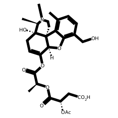 CC(=O)O[C@@H](CC(=O)O)C(=O)O[C@@H](C)C(=O)OC1=CC[C@@]2(O)[C@@H](C)N(C)CC[C@@]23c2c(C)ccc(CO)c2O[C@@H]13